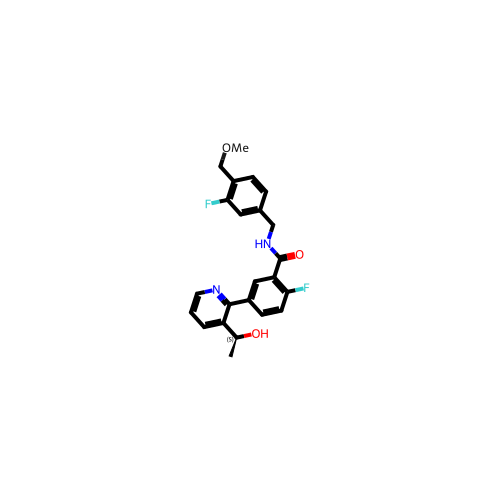 COCc1ccc(CNC(=O)c2cc(-c3ncccc3[C@H](C)O)ccc2F)cc1F